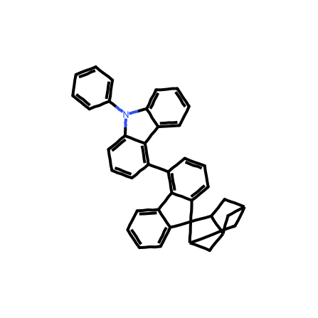 c1ccc(-n2c3ccccc3c3c(-c4cccc5c4-c4ccccc4C54C5CC6CC(C5)C4C6)cccc32)cc1